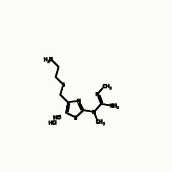 CN=C(N)N(C)c1nc(CSCCN)cs1.Cl.Cl